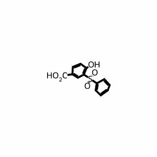 O=C(O)c1ccc(O)c(S(=O)(=O)c2ccccc2)c1